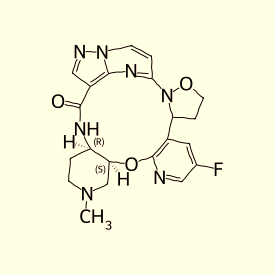 CN1CC[C@H]2NC(=O)c3cnn4ccc(nc34)N3OCCC3c3cc(F)cnc3O[C@H]2C1